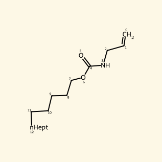 C=CCNC(=O)OCCCCCCCCCCCC